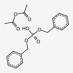 CC(=O)OC(C)=O.O=P(O)(OCc1ccccc1)OCc1ccccc1